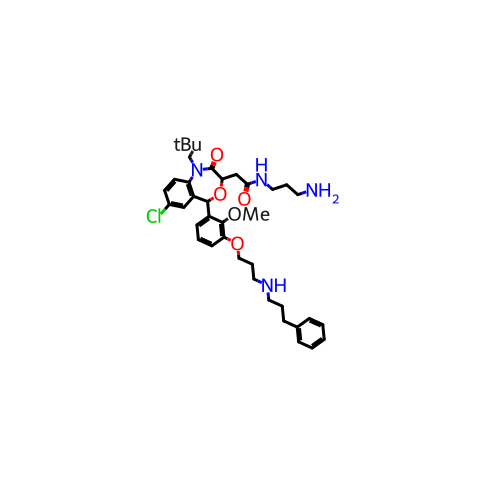 COc1c(OCCCNCCCc2ccccc2)cccc1C1OC(CC(=O)NCCCN)C(=O)N(CC(C)(C)C)c2ccc(Cl)cc21